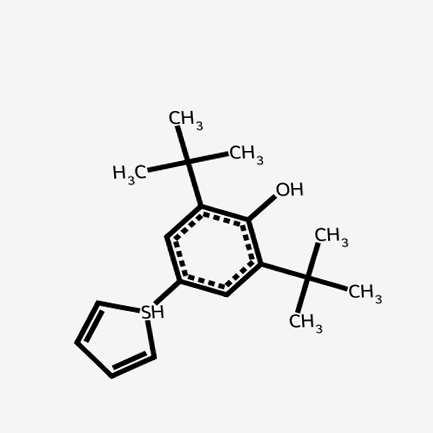 CC(C)(C)c1cc([SH]2C=CC=C2)cc(C(C)(C)C)c1O